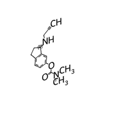 C#CCN[C@@H]1CCc2ccc(OC(=O)N(C)C)cc21